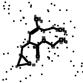 CCCC(C)=CC(CC1CO1)C(=O)OCC